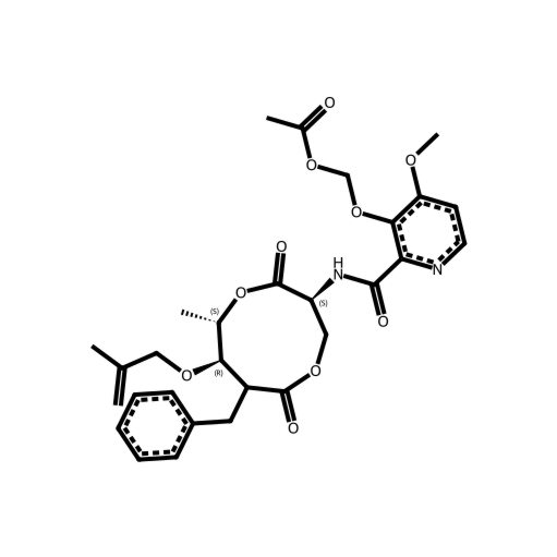 C=C(C)CO[C@@H]1C(Cc2ccccc2)C(=O)OC[C@H](NC(=O)c2nccc(OC)c2OCOC(C)=O)C(=O)O[C@H]1C